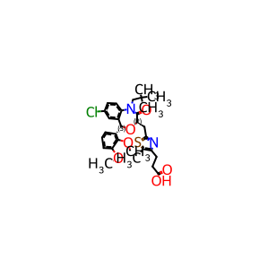 COc1cccc([C@H]2O[C@H](Cc3nc(CCC(=O)O)c(C)s3)C(=O)N(CC(C)(C)C)c3ccc(Cl)cc32)c1OC